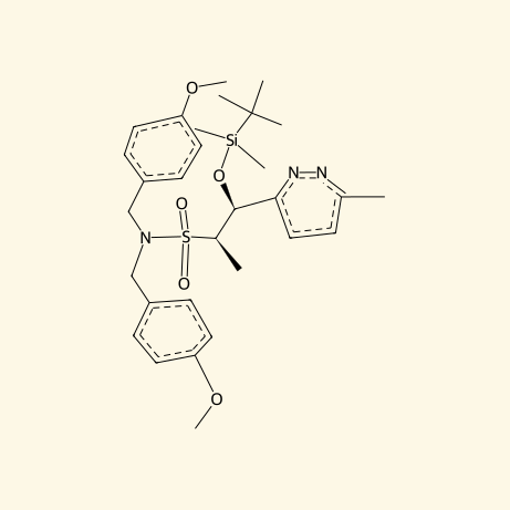 COc1ccc(CN(Cc2ccc(OC)cc2)S(=O)(=O)[C@H](C)[C@@H](O[Si](C)(C)C(C)(C)C)c2ccc(C)nn2)cc1